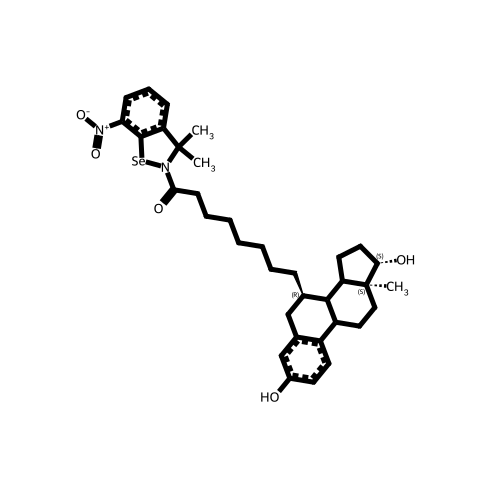 CC1(C)c2cccc([N+](=O)[O-])c2[Se]N1C(=O)CCCCCCC[C@@H]1Cc2cc(O)ccc2C2CC[C@@]3(C)C(CC[C@@H]3O)C21